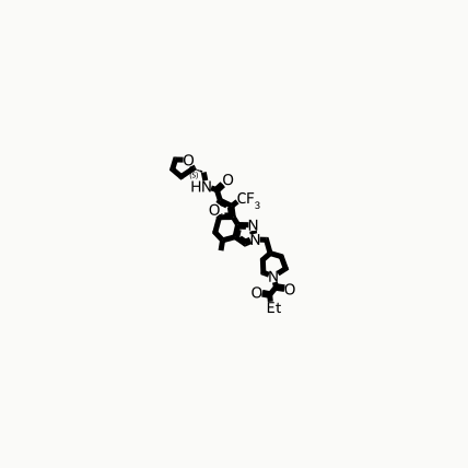 CCC(=O)C(=O)N1CCC(Cn2cc3c(n2)-c2c(oc(C(=O)NC[C@@H]4CCCO4)c2C(F)(F)F)CC3C)CC1